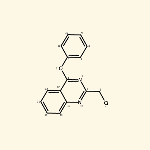 ClCc1nc(Oc2ccccc2)c2ccccc2n1